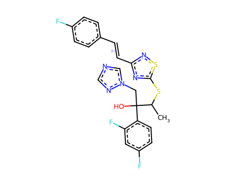 CC(Sc1nc(/C=C/c2ccc(F)cc2)ns1)C(O)(Cn1cncn1)c1ccc(F)cc1F